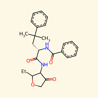 CCC1OCC(=O)C1NC(=O)[C@H](CC(C)(C)c1ccccc1)NC(=O)c1ccccc1